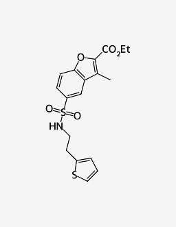 CCOC(=O)c1oc2ccc(S(=O)(=O)NCCc3cccs3)cc2c1C